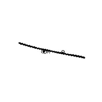 CCCCCCCCCCCCCCCCCCCCCCC(CCCCCCCCCCCCCCCCC(=O)CCCCCCCCCCCCCCCCC)C(=O)O